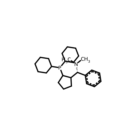 CN(C)[C@H](c1ccccc1)C1CCCC1P(C1CCCCC1)C1CCCCC1